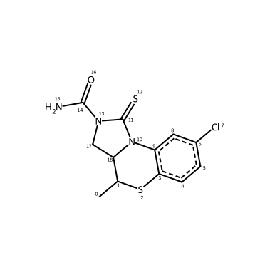 CC1Sc2ccc(Cl)cc2N2C(=S)N(C(N)=O)CC12